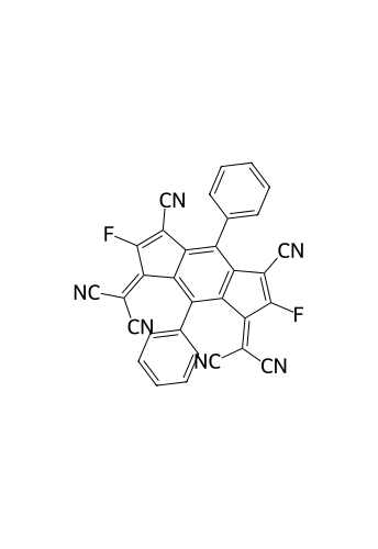 N#CC(C#N)=C1C(F)=C(C#N)c2c1c(-c1ccccc1)c1c(c2-c2ccccc2)C(C#N)=C(F)C1=C(C#N)C#N